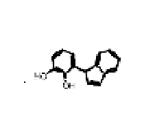 Oc1cccc(C2C=Cc3ccccc32)c1O